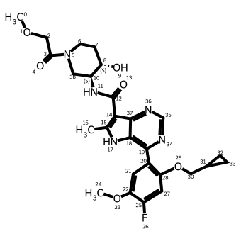 COCC(=O)N1CC[C@H](O)[C@@H](NC(=O)c2c(C)[nH]c3c(-c4cc(OC)c(F)cc4OCC4CC4)ncnc23)C1